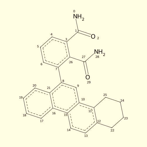 NC(=O)c1cccc(-c2cc3c4c(ccc3c3ccccc23)CCCC4)c1C(N)=O